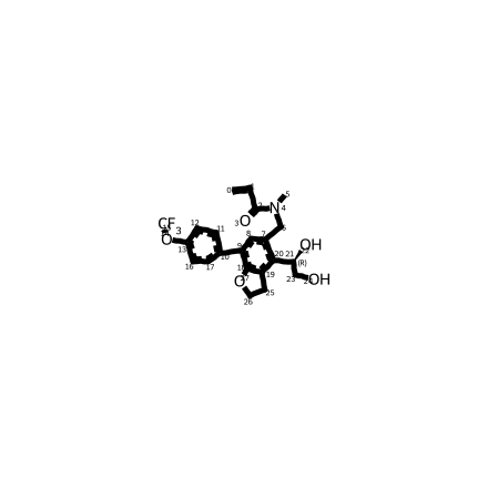 C=CC(=O)N(C)Cc1cc(-c2ccc(OC(F)(F)F)cc2)c2c(c1[C@@H](O)CO)CCO2